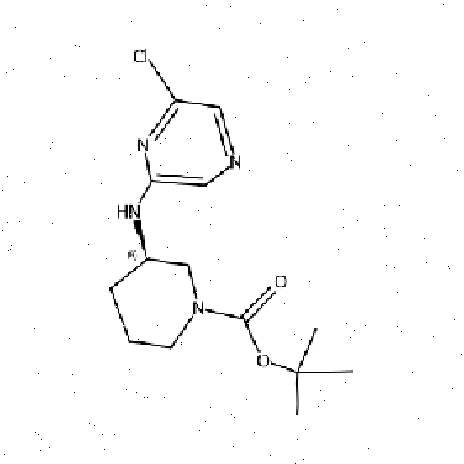 CC(C)(C)OC(=O)N1CCC[C@@H](Nc2cncc(Cl)n2)C1